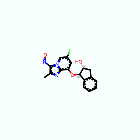 Cc1nc2c(O[C@@H]3c4ccccc4C[C@H]3O)cc(Cl)cn2c1N=O